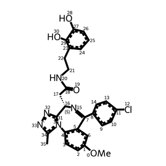 COc1ccc2c(c1)C(c1ccc(Cl)cc1)=N[C@@H](CC(=O)NCCc1cccc(O)c1O)c1nnc(C)n1-2